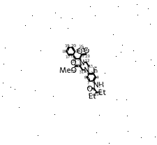 CCC(CC)C(=O)Nc1ccc(N2CCN(C(Cc3ccccc3)C3=COCO3)C(C(=O)OC)C2)c(F)c1